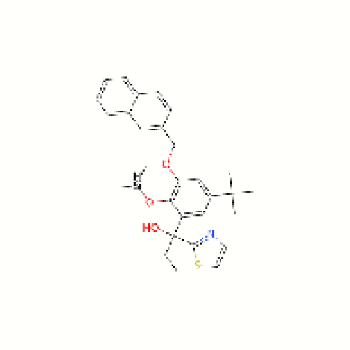 CCC(O)(c1nccs1)c1cc(C(C)(C)C)cc(OCc2ccc3ccccc3c2)c1O[SiH](C)C